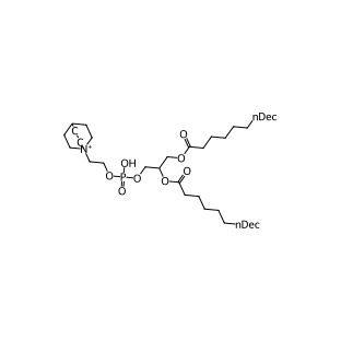 CCCCCCCCCCCCCCCC(=O)OCC(COP(=O)(O)OCC[N+]12CCC(CC1)CC2)OC(=O)CCCCCCCCCCCCCCC